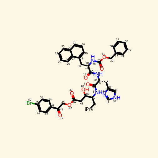 CC(C)CC(NC(=O)[C@@H](Cc1c[nH]cn1)NC(=O)[C@@H](Cc1cccc2ccccc12)NC(=O)OCc1ccccc1)C(O)CC(=O)OCC(=O)c1ccc(Br)cc1